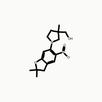 CC1(CO)CCN(c2cc3c(cc2[N+](=O)[O-])CC(C)(C)O3)C1